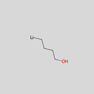 [Li][CH2]CCCO